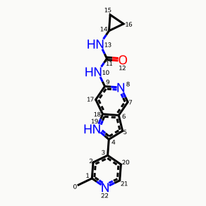 Cc1cc(-c2cc3cnc(NC(=O)NC4CC4)cc3[nH]2)ccn1